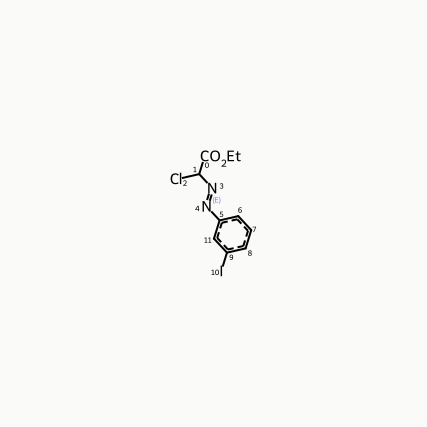 CCOC(=O)C(Cl)/N=N/c1cccc(I)c1